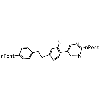 CCCCCc1ccc(CCc2ccc(-c3cnc(CCCCC)nc3)c(Cl)c2)cc1